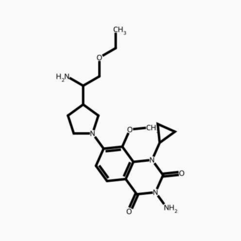 CCOCC(N)C1CCN(c2ccc3c(=O)n(N)c(=O)n(C4CC4)c3c2OC)C1